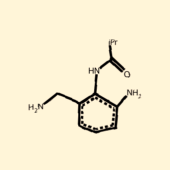 CC(C)C(=O)Nc1c(N)cccc1CN